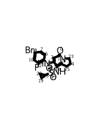 O=c1cc(Nc2ccc(Br)cc2F)c(NS(=O)(=O)C2CC2)c2n1CCC2